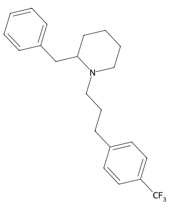 FC(F)(F)c1ccc(CCCN2CCCCC2Cc2ccccc2)cc1